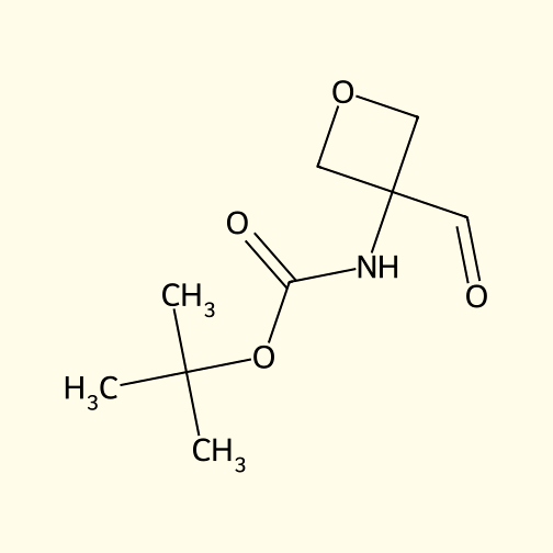 CC(C)(C)OC(=O)NC1(C=O)COC1